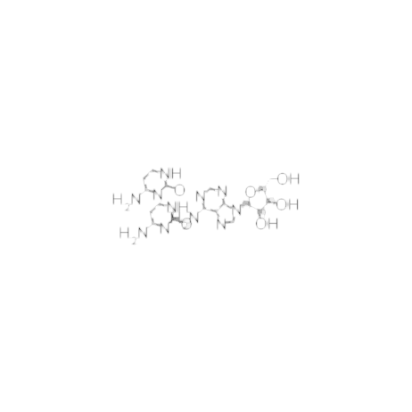 Nc1cc[nH]c(=O)n1.Nc1cc[nH]c(=O)n1.Nc1ncnc2c1ncn2[C@@H]1O[C@H](CO)[C@@H](O)[C@H]1O